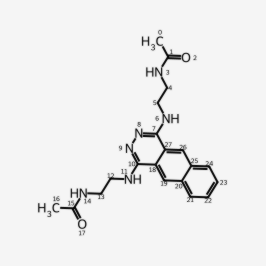 CC(=O)NCCNc1nnc(NCCNC(C)=O)c2cc3ccccc3cc12